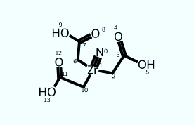 [N]#[Zr]([CH2]C(=O)O)([CH2]C(=O)O)[CH2]C(=O)O